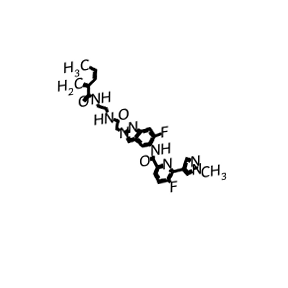 C=C(/C=C\C)C(=O)NCCNC(=O)Cn1cc2cc(NC(=O)c3ccc(F)c(-c4cnn(C)c4)n3)c(F)cc2n1